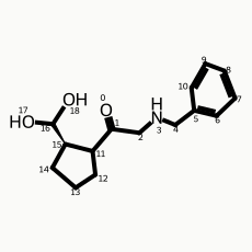 O=C(CNCc1ccccc1)C1CCC[C@H]1C(O)O